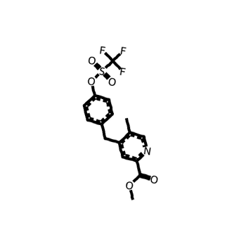 COC(=O)c1cc(Cc2ccc(OS(=O)(=O)C(F)(F)F)cc2)c(C)cn1